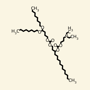 CCCCCCCCCCCCC(CCOC(=O)OCCCC(OCCCCCCCC)OCCCCCCCC)OC(=O)OCCCN(CC)CC